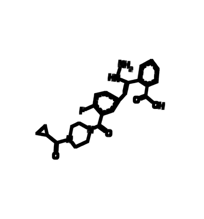 NN/C(=C\c1ccc(F)c(C(=O)N2CCN(C(=O)C3CC3)CC2)c1)c1ccccc1C(=O)O